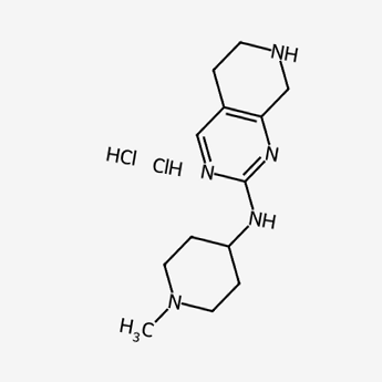 CN1CCC(Nc2ncc3c(n2)CNCC3)CC1.Cl.Cl